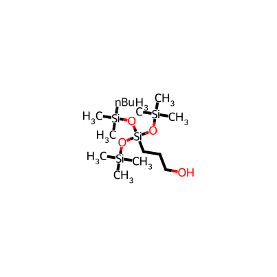 CCCC[Si](C)(C)O[Si](CCCO)(O[Si](C)(C)C)O[Si](C)(C)C